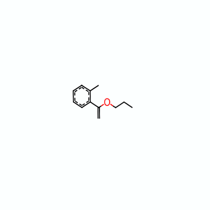 C=C(OCCC)c1ccccc1C